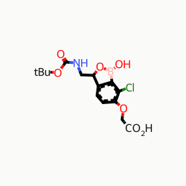 CC(C)(C)OC(=O)NCC1OB(O)c2c1ccc(OCC(=O)O)c2Cl